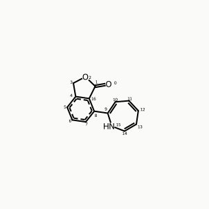 O=C1OCc2cccc(C3=CC=CC=CN3)c21